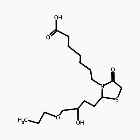 CCCOCC(O)CCC1SCC(=O)N1CCCCCCC(=O)O